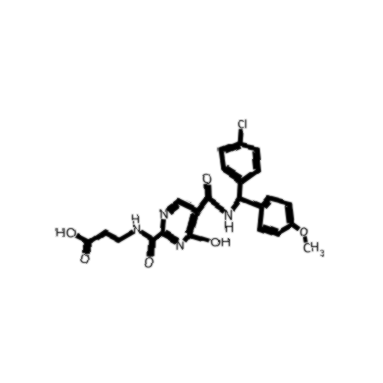 COc1ccc(C(NC(=O)c2cnc(C(=O)NCCC(=O)O)nc2O)c2ccc(Cl)cc2)cc1